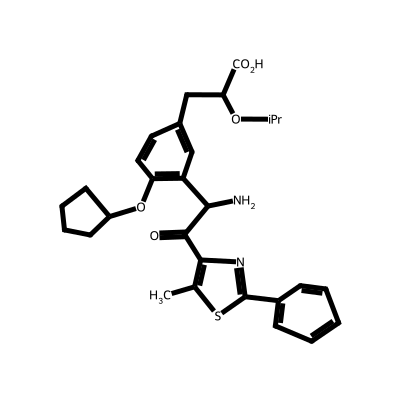 Cc1sc(-c2ccccc2)nc1C(=O)C(N)c1cc(CC(OC(C)C)C(=O)O)ccc1OC1CCCC1